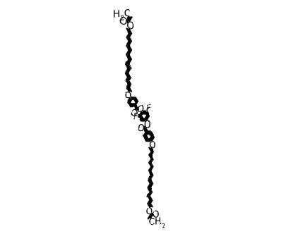 C=CC(=O)OCCCCCCCCCCCCCCCCOc1ccc(C(=O)Oc2cc(F)c(OC(=O)c3ccc(OCCCCCCCCCCCCCCCCOC(=O)C=C)cc3)c(F)c2)cc1